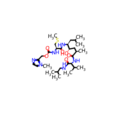 CSC[C@H](NC(=O)OCc1nccn1C)C(=O)N[C@@H](CC(C)C)[C@@H](O)C[C@@H](C)C(=O)N[C@H](C(=O)NCC(C)C)C(C)C